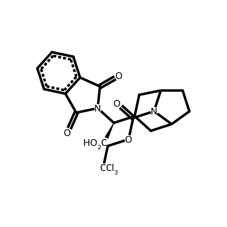 O=C(O)[C@H](C1CC2CCC(C1)N2C(=O)OCC(Cl)(Cl)Cl)N1C(=O)c2ccccc2C1=O